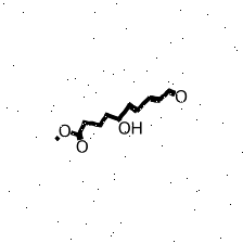 COC(=O)CCCC(O)C=CC=CC=O